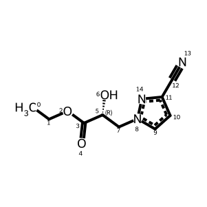 CCOC(=O)[C@H](O)Cn1ccc(C#N)n1